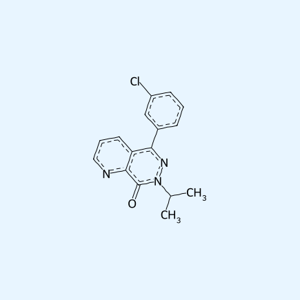 CC(C)n1nc(-c2cccc(Cl)c2)c2cccnc2c1=O